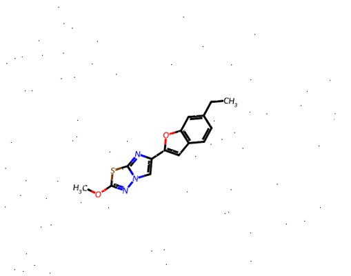 CCc1ccc2cc(-c3cn4nc(OC)sc4n3)oc2c1